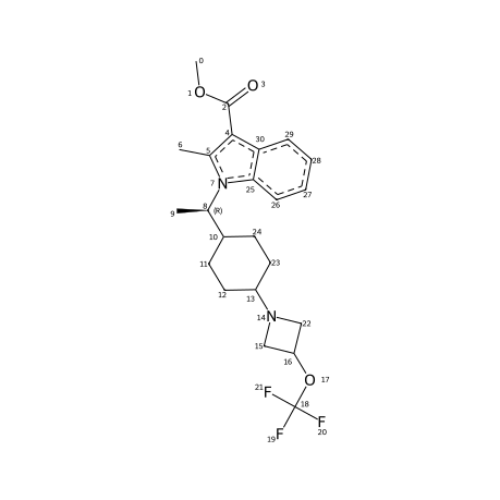 COC(=O)c1c(C)n([C@H](C)C2CCC(N3CC(OC(F)(F)F)C3)CC2)c2ccccc12